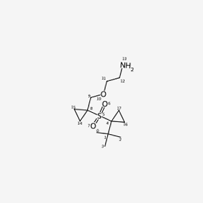 CC(C)(C)C1(S(=O)(=O)C2(COCCN)CC2)CC1